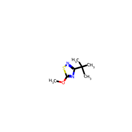 COc1nc(C(C)(C)C)ns1